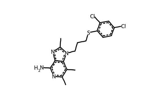 Cc1nc(N)c2nc(C)n(CCCSc3ccc(Cl)cc3Cl)c2c1C